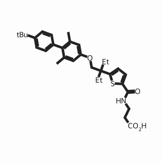 CCC(CC)(COc1cc(C)c(-c2ccc(C(C)(C)C)cc2)c(C)c1)c1ccc(C(=O)NCCC(=O)O)s1